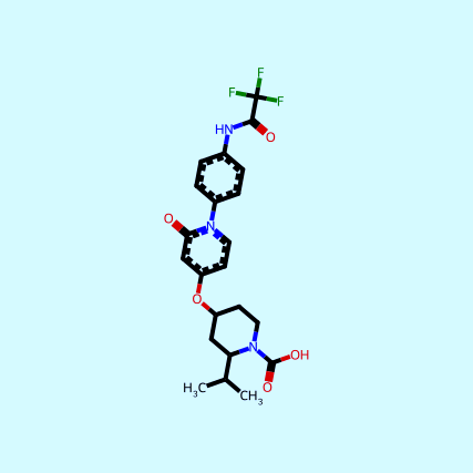 CC(C)C1CC(Oc2ccn(-c3ccc(NC(=O)C(F)(F)F)cc3)c(=O)c2)CCN1C(=O)O